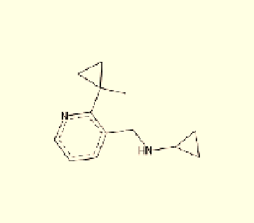 CC1(c2ncccc2CNC2CC2)CC1